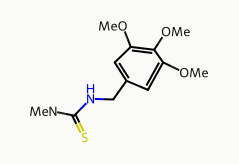 CNC(=S)NCc1cc(OC)c(OC)c(OC)c1